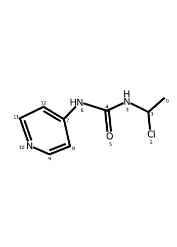 CC(Cl)NC(=O)Nc1ccncc1